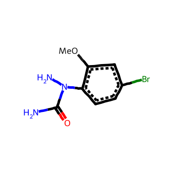 COc1cc(Br)ccc1N(N)C(N)=O